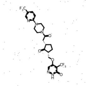 O=C1[C@@H](COc2cn[nH]c(=O)c2C(F)(F)F)CC[C@H]1CC(=O)N1CCN(c2ccc(C(F)(F)F)cn2)CC1